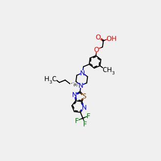 CCCC[C@@H]1CN(Cc2cc(C)cc(OCC(=O)O)c2)CCN1c1nc2ccc(C(F)(F)F)nc2s1